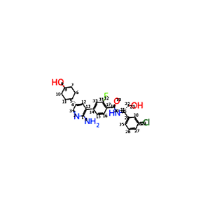 Nc1ncc([C@H]2CC[C@H](O)CC2)cc1-c1ccc(C(=O)N[C@H](CO)c2cccc(Cl)c2)c(F)c1